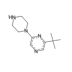 CC(C)(C)c1cncc(N2CCNCC2)n1